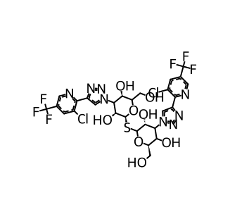 OCC1O[C@@H](SC2O[C@H](CO)C(O)C(n3cc(-c4ncc(C(F)(F)F)cc4Cl)nn3)[C@H]2O)[C@@H](O)C(n2cc(-c3ncc(C(F)(F)F)cc3Cl)nn2)[C@H]1O